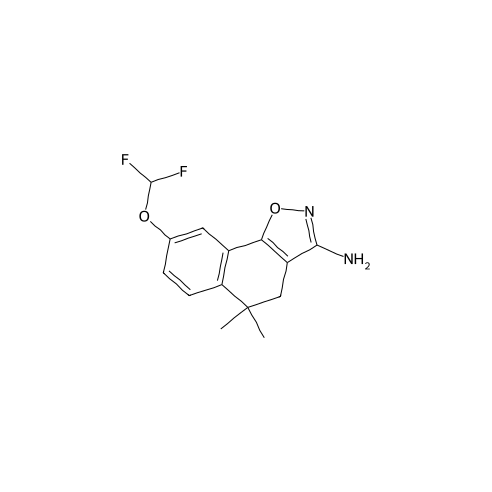 CC1(C)Cc2c(N)noc2-c2cc(OC(F)F)ccc21